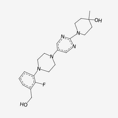 CC1(O)CCN(c2ncc(N3CCN(c4cccc(CO)c4F)CC3)cn2)CC1